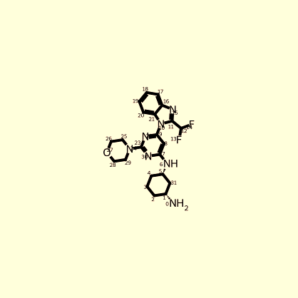 N[C@@H]1CCC[C@H](Nc2cc(-n3c(C(F)F)nc4ccccc43)nc(N3CCOCC3)n2)C1